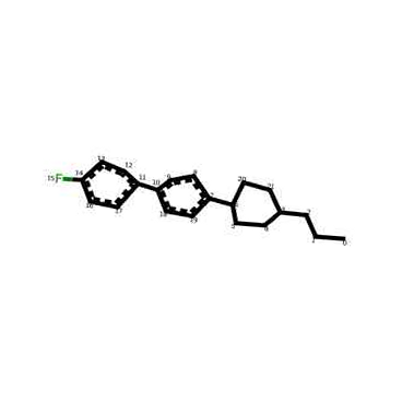 CCCC1CCC(c2ccc(-c3ccc(F)cc3)cc2)CC1